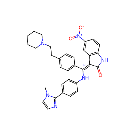 Cn1ccnc1-c1ccc(N/C(=C2\C(=O)Nc3ccc([N+](=O)[O-])cc32)c2ccc(CCN3CCCCC3)cc2)cc1